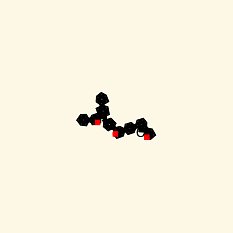 c1ccc(-c2ccc3c(c2)c2cc(-c4ccccc4)ccc2n3-c2ccc(-c3cccc(-c4ccc(-c5cccc6c5oc5ccccc56)cc4)c3)cc2)cc1